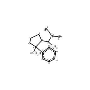 CC(C)N(C(C)C)C(C)C1CCCC1(C(=O)O)c1ccccc1